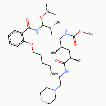 COCCCCOc1ccccc1C(=O)NC(O[SiH](C)C)[C@@H](C[C@H](NC(=O)OC(C)(C)C)[C@@H](C[C@H](C(=O)NCCN1CCSCC1)C(C)C)C(C)(C)C)C(C)C